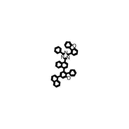 c1ccc(-c2nc(-c3ccc(-c4cc(-c5cccc6ccccc56)cc5oc6ccccc6c45)c4ccccc34)nc(-c3cccc4oc5ccccc5c34)n2)cc1